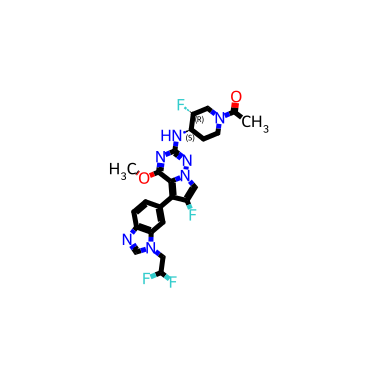 COc1nc(N[C@H]2CCN(C(C)=O)C[C@H]2F)nn2cc(F)c(-c3ccc4ncn(CC(F)F)c4c3)c12